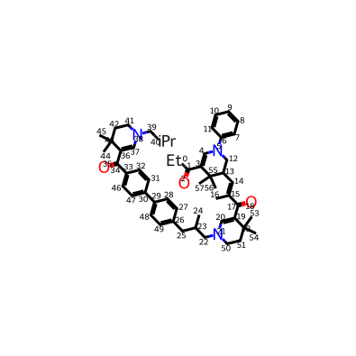 CCC(=O)C1=CN(c2ccccc2)CC(/C=C(\C)C(=O)C2=CN(CC(C)Cc3ccc(-c4ccc(C(=O)C5=CN(CC(C)C)CCC5(C)C)cc4)cc3)CCC2(C)C)C1(C)C